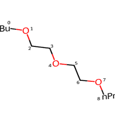 [CH2][CH]CCOCCOCCOC[CH][CH2]